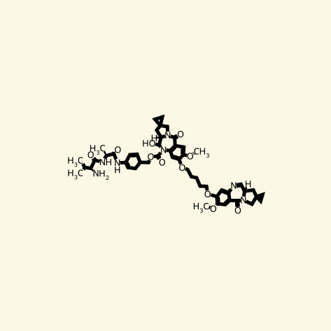 COc1cc2c(cc1OCCCCCOc1cc3c(cc1OC)C(=O)N1CC4(CC4)C[C@H]1C(O)N3C(=O)OCC1C=CC(NC(=O)[C@H](C)NC(=O)[C@@H](N)C(C)C)=CC1)N=C[C@@H]1CC3(CC3)CN1C2=O